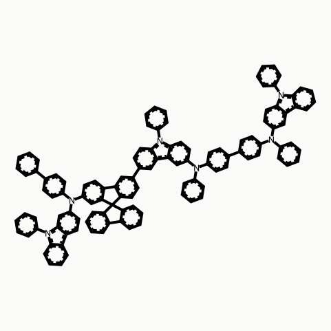 c1ccc(-c2ccc(N(c3ccc4c(c3)C3(c5ccccc5-c5ccccc53)c3ccc(-c5ccc6c(c5)c5cc(N(c7ccccc7)c7ccc(-c8ccc(N(c9ccccc9)c9ccc%10c(c9)c9ccccc9n%10-c9ccccc9)cc8)cc7)ccc5n6-c5ccccc5)cc3-4)c3ccc4c5ccccc5n(-c5ccccc5)c4c3)cc2)cc1